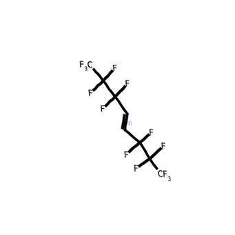 FC(F)(F)C(F)(F)C(F)(F)/C=C/C(F)(F)C(F)(F)C(F)(F)F